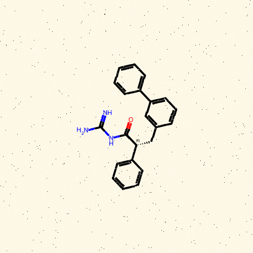 N=C(N)NC(=O)[C@H](Cc1cccc(-c2ccccc2)c1)c1ccccc1